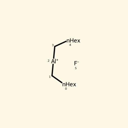 CCCCCC[CH2][Al+][CH2]CCCCCC.[F-]